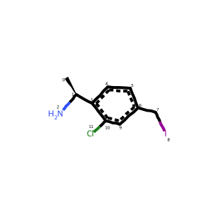 C[C@H](N)c1ccc(CI)cc1Cl